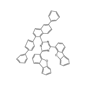 c1ccc(-c2ccc(-c3ccc4cc(-c5ccccc5)ccc4c3-c3nc(-c4cccc5c4oc4ccccc45)nc(-c4cccc5c4oc4ccccc45)n3)cc2)cc1